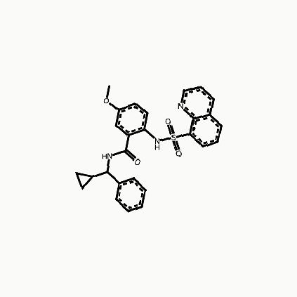 COc1ccc(NS(=O)(=O)c2cccc3cccnc23)c(C(=O)NC(c2ccccc2)C2CC2)c1